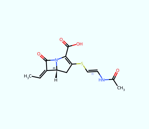 CC=C1C(=O)N2C(C(=O)O)=C(S/C=C/NC(C)=O)C[C@H]12